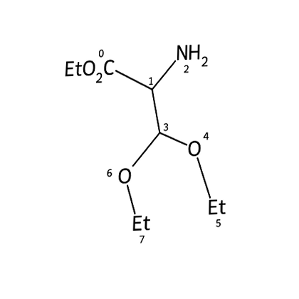 CCOC(=O)C(N)C(OCC)OCC